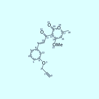 C#CCOc1cccc(/C=C/C(=O)c2c(OC)cc(C)oc2=O)c1